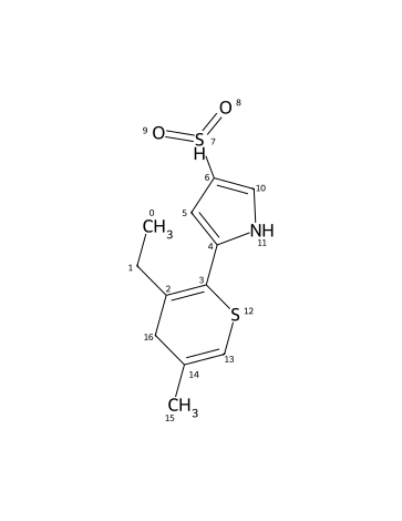 CCC1=C(c2cc([SH](=O)=O)c[nH]2)SC=C(C)C1